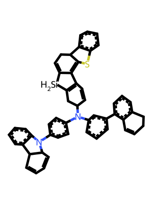 C1=CC2c3ccccc3N(c3ccc(N(c4cccc(-c5cccc6c5C=CCC6)c4)C4C=CC5=C(C4)[SiH2]C4=CCC6C(=C45)Sc4ccccc46)cc3)C2C=C1